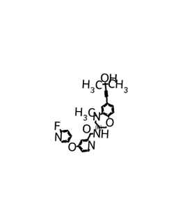 CN1C[C@@H](NC(=O)c2cc(Oc3ccc(F)nc3)ccn2)COc2ccc(C#CC(C)(C)O)cc21